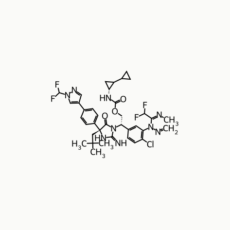 C=NN(/C(=N\C)C(F)F)c1cc([C@@H](COC(=O)N[C@@H]2CC2C2CC2)N2C(=N)N[C@](CC(C)(C)C)(c3ccc(-c4cnn(C(F)F)c4)cc3)C2=O)ccc1Cl